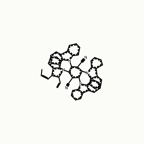 C=Cc1c(/C=C\C)c2ccccc2n1-c1c(C#N)c(-n2c3ccccc3c3ccccc32)c(-n2c3ccccc3c3ccccc32)c(C#N)c1-n1c2ccccc2c2ccccc21